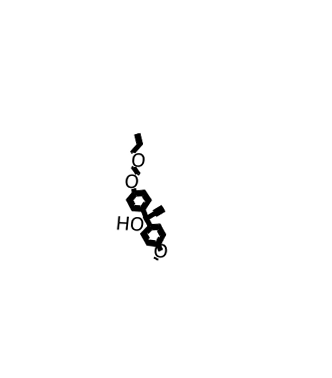 C#CC(O)(c1ccc(OC)cc1)c1ccc(OCCOCC=C)cc1